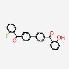 O=C(c1ccc(-c2ccc(C(=O)c3ccccc3F)cc2)cc1)c1ccccc1O